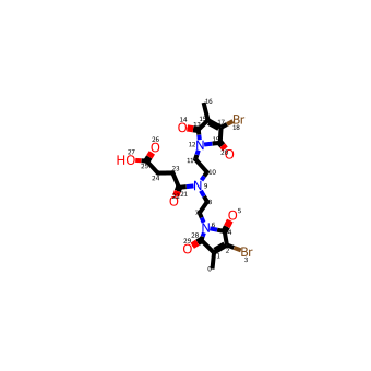 CC1=C(Br)C(=O)N(CCN(CCN2C(=O)C(C)=C(Br)C2=O)C(=O)CCC(=O)O)C1=O